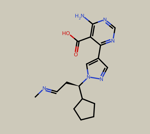 C/N=C/C[C@H](C1CCCC1)n1cc(-c2ncnc(N)c2C(=O)O)cn1